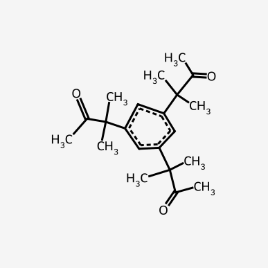 CC(=O)C(C)(C)c1cc(C(C)(C)C(C)=O)cc(C(C)(C)C(C)=O)c1